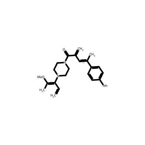 C=C/C(=C(\C)OC)N1CCN(C(=O)C(=C)/C=C(\C)c2ccc(CCC)cc2)CC1